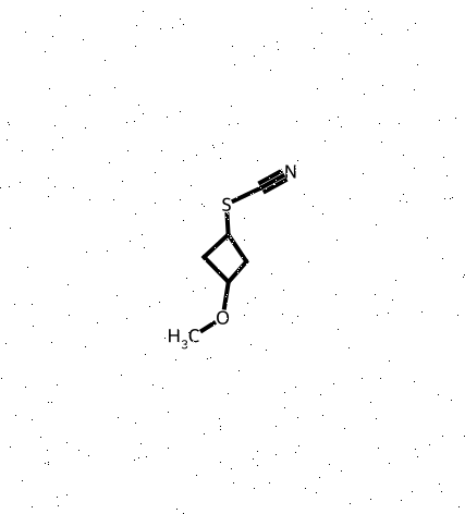 COC1CC(SC#N)C1